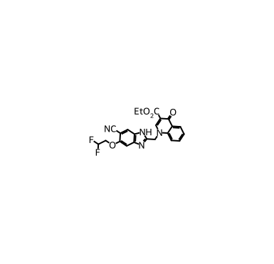 CCOC(=O)c1cn(Cc2nc3cc(OCC(F)F)c(C#N)cc3[nH]2)c2ccccc2c1=O